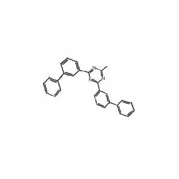 Cc1nc(-c2cccc(-c3ccccc3)c2)nc(-c2cccc(-c3ccccc3)c2)n1